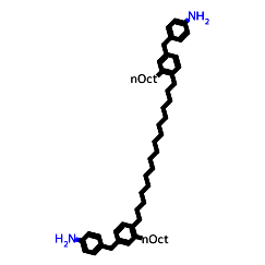 CCCCCCCCc1cc(Cc2ccc(N)cc2)ccc1CCCCCCCCCCCCCCCCCc1ccc(Cc2ccc(N)cc2)cc1CCCCCCCC